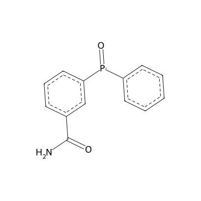 NC(=O)c1cccc([P](=O)c2ccccc2)c1